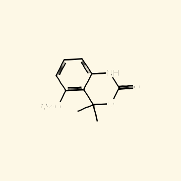 COc1cccc2c1C(C)(C)OC(=O)N2